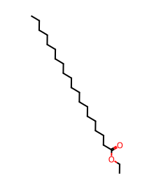 CCCCCCCCCCCCCCCCCCCC(=O)OCC